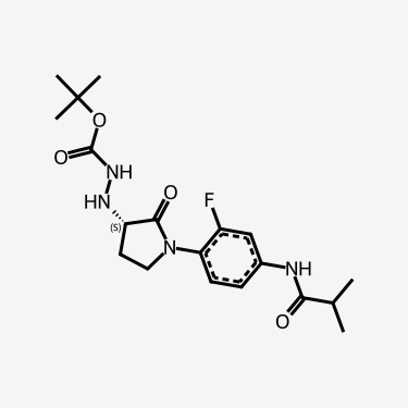 CC(C)C(=O)Nc1ccc(N2CC[C@H](NNC(=O)OC(C)(C)C)C2=O)c(F)c1